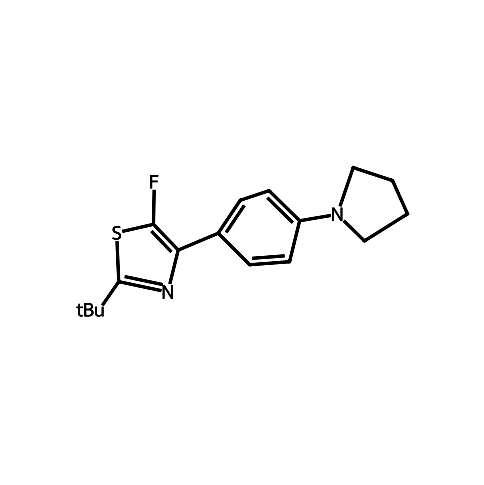 CC(C)(C)c1nc(-c2ccc(N3CCCC3)cc2)c(F)s1